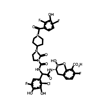 O=C(O)c1c(F)ccc2c1OB(O)[C@@H](NC(=O)C(NC(=O)N1CCN(C3CCN(C(=O)c4ccc(F)c(O)c4F)CC3)C1=O)c1cc(F)c(O)c(O)c1Cl)C2